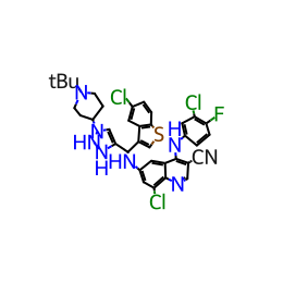 CC(C)(C)N1CCC(N2C=C([C@@H](Nc3cc(Cl)c4ncc(C#N)c(Nc5ccc(F)c(Cl)c5)c4c3)c3csc4ccc(Cl)cc34)NN2)CC1